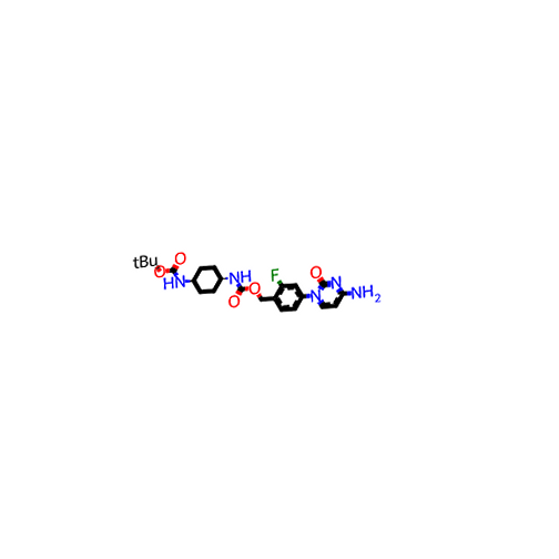 CC(C)(C)OC(=O)N[C@H]1CC[C@H](NC(=O)OCc2ccc(-n3ccc(N)nc3=O)cc2F)CC1